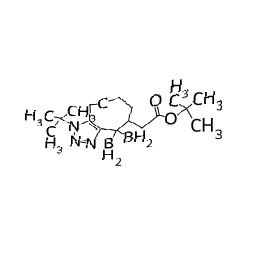 BC1(B)c2nnn(C(C)(C)C)c2CCCCC1CC(=O)OC(C)(C)C